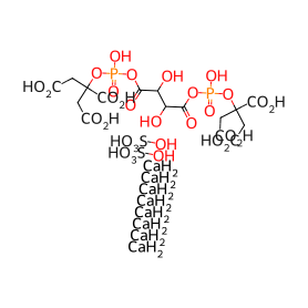 O=C(O)CC(CC(=O)O)(OP(=O)(O)OC(=O)C(O)C(O)C(=O)OP(=O)(O)OC(CC(=O)O)(CC(=O)O)C(=O)O)C(=O)O.O=S(=O)(O)O.O=S(=O)(O)O.[CaH2].[CaH2].[CaH2].[CaH2].[CaH2].[CaH2].[CaH2].[CaH2]